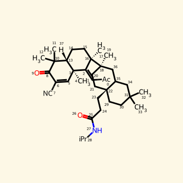 CC(=O)/C=C1/[C@@]2(C)C=C(C#N)C(=O)C(C)(C)[C@@H]2CC[C@@]1(C)[C@]1(C)CC[C@@]2(CCC(=O)NC(C)C)CCC(C)(C)CC2C1